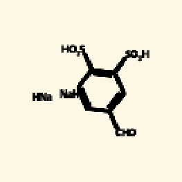 O=Cc1ccc(S(=O)(=O)O)c(S(=O)(=O)O)c1.[NaH].[NaH]